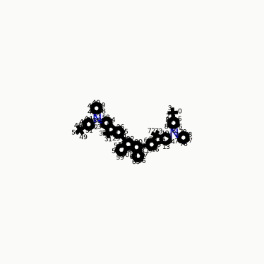 CC(C)(C)c1ccc(N(C2=CC3C(C=C2)c2ccc(-c4cc5cc(-c6ccc7c(c6)C(C)(C)c6cc(N(c8ccccc8)c8ccc(C(C)(C)C)cc8)ccc6-7)c6ccccc6c5c5ccccc45)cc2C3(C)C)c2ccccc2)cc1